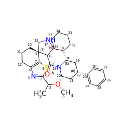 COC(C)c1nc2c(s1)[C@]1(CCC2)CNCC1C(=O)N1CC[C@@H](c2ccccc2)C[C@H]1C1CCCCC1